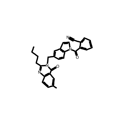 CCCCc1nc2ccc(C)cc2c(=O)n1Cc1ccc2c(ccn2C(=O)c2ccccc2C#N)c1